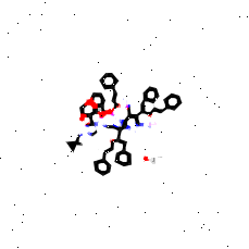 CC1(CN2CC[C@@]3(C2=O)c2ccc(F)cc2C(=O)N3Cc2c(C(=Cc3ccccc3)C(=O)C=Cc3ccccc3)c3nc(N)c(C(=Cc4ccccc4)C(=O)C=Cc4ccccc4)c(C#N)c3n2C(=Cc2ccccc2)C(=O)C=Cc2ccccc2)CC1.[Pd+2].[Pd+2]